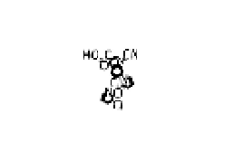 N#CCn1cc(C(=O)O)c(=O)c2cc(Cl)c(N3CCC[C@@H]3COc3ncccc3Cl)cc21